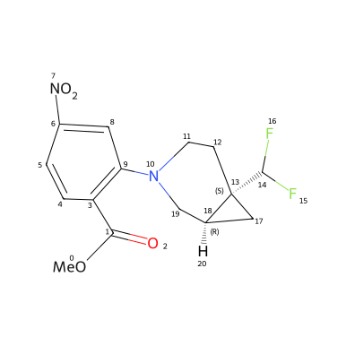 COC(=O)c1ccc([N+](=O)[O-])cc1N1CC[C@@]2(C(F)F)C[C@H]2C1